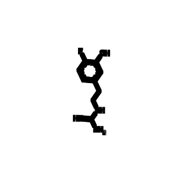 N=C(N)NCCc1ccc(F)c(O)c1